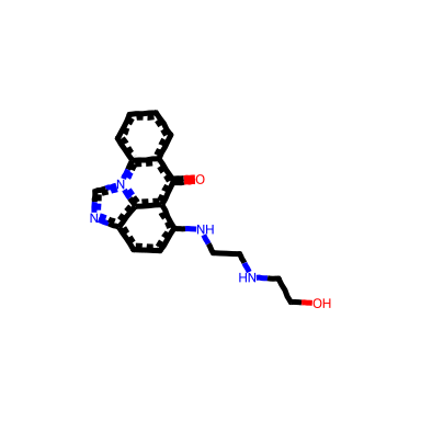 O=c1c2ccccc2n2cnc3ccc(NCCNCCO)c1c32